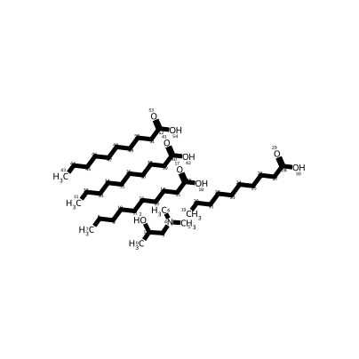 CC(O)CN(C)C.CCCCCCCCCC(=O)O.CCCCCCCCCC(=O)O.CCCCCCCCCC(=O)O.CCCCCCCCCC(=O)O